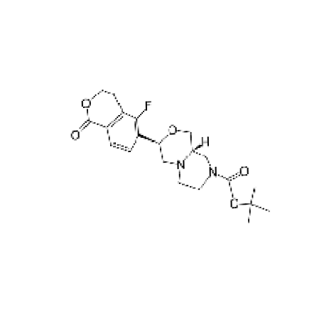 CC(C)(C)OC(=O)N1CCN2C[C@@H](c3ccc4c(c3F)CCOC4=O)OC[C@@H]2C1